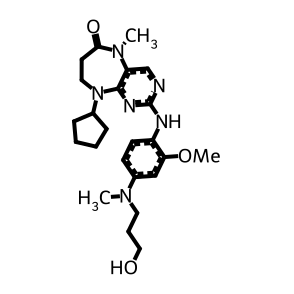 COc1cc(N(C)CCCO)ccc1Nc1ncc2c(n1)N(C1CCCC1)CCC(=O)N2C